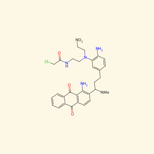 CNC(CCc1ccc(N)c(N(CCNC(=O)CCl)CC[N+](=O)[O-])c1)c1ccc2c(c1N)C(=O)c1ccccc1C2=O